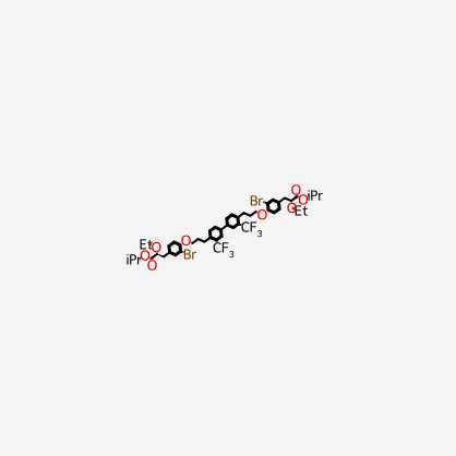 CCOC(Cc1ccc(OCCCc2ccc(-c3ccc(CCCOc4ccc(C[C@H](OCC)C(=O)OC(C)C)cc4Br)c(C(F)(F)F)c3)cc2C(F)(F)F)c(Br)c1)C(=O)OC(C)C